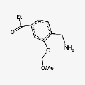 CCC(=O)c1ccc(CN)c(OCOC)c1